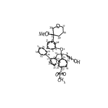 COC1(c2cccc(OC(C=NO)(Cc3ocnc3-c3ccccc3)c3ccc(S(C)(=O)=O)cc3)c2)CCCOC1